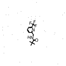 CC(C)(C)C(=O)NCc1cccc(C(F)(F)F)n1